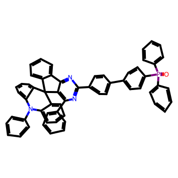 O=P(c1ccccc1)(c1ccccc1)c1ccc(-c2ccc(-c3nc(-c4ccccc4)c4c(n3)-c3ccccc3C43c4ccccc4N(c4ccccc4)c4ccccc43)cc2)cc1